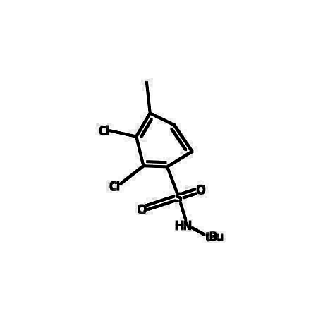 Cc1ccc(S(=O)(=O)NC(C)(C)C)c(Cl)c1Cl